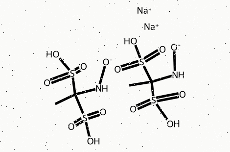 CC(N[O-])(S(=O)(=O)O)S(=O)(=O)O.CC(N[O-])(S(=O)(=O)O)S(=O)(=O)O.[Na+].[Na+]